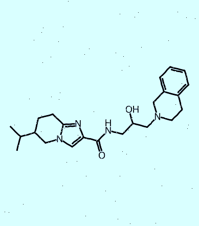 CC(C)C1CCc2nc(C(=O)NCC(O)CN3CCc4ccccc4C3)cn2C1